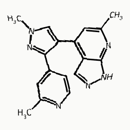 Cc1cc(-c2nn(C)cc2-c2cc(C)nc3[nH]ncc23)ccn1